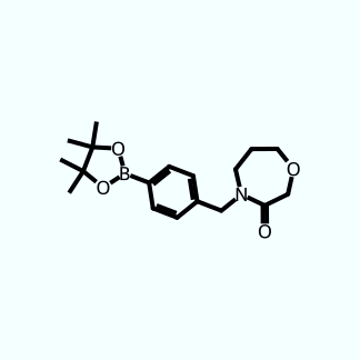 CC1(C)OB(c2ccc(CN3CCCOCC3=O)cc2)OC1(C)C